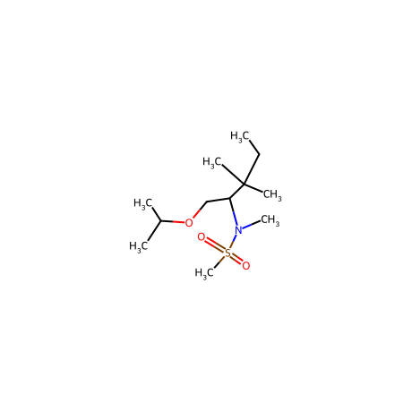 CCC(C)(C)C(COC(C)C)N(C)S(C)(=O)=O